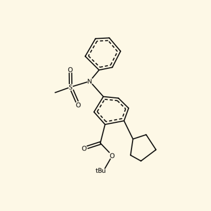 CC(C)(C)OC(=O)c1cc(N(c2ccccc2)S(C)(=O)=O)ccc1C1CCCC1